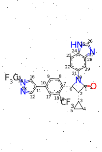 O=C1[C@H](C2CC2)[C@H](c2ccc(-c3cnn(C(F)(F)F)c3)cc2C(F)(F)F)N1c1ccc2[nH]cnc2c1